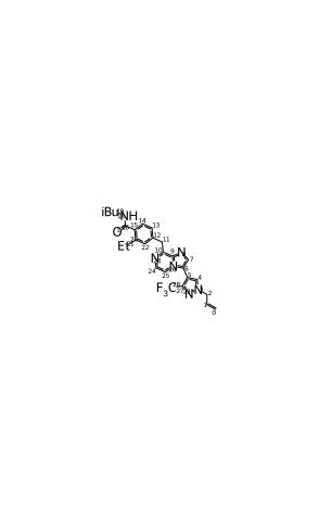 C=CCn1cc(-c2cnc3c(Cc4ccc(C(=O)N[C@@H](C)CC)c(CC)c4)nccn23)c(C(F)(F)F)n1